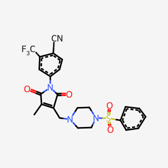 CC1=C(CN2CCN(S(=O)(=O)c3ccccc3)CC2)C(=O)N(c2ccc(C#N)c(C(F)(F)F)c2)C1=O